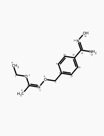 CCOC(C)=NOCc1ccc(C(N)=NO)cc1